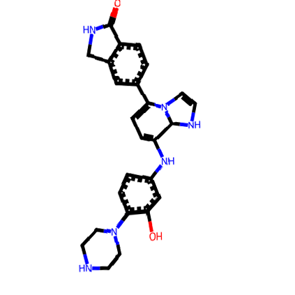 O=C1NCc2cc(C3=CC=C(Nc4ccc(N5CCNCC5)c(O)c4)C4NC=CN34)ccc21